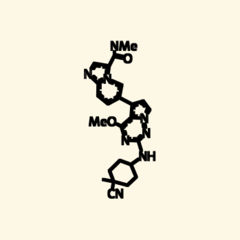 CNC(=O)c1cnc2ccc(-c3ccn4nc(NC5CCC(C)(C#N)CC5)nc(OC)c34)cn12